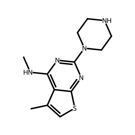 CNc1nc(N2CCNCC2)nc2scc(C)c12